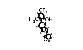 Cc1cc(C(F)(F)F)cc(O)c1-c1ccc2cn([C@]34CCC(C3)OC4)nc2n1